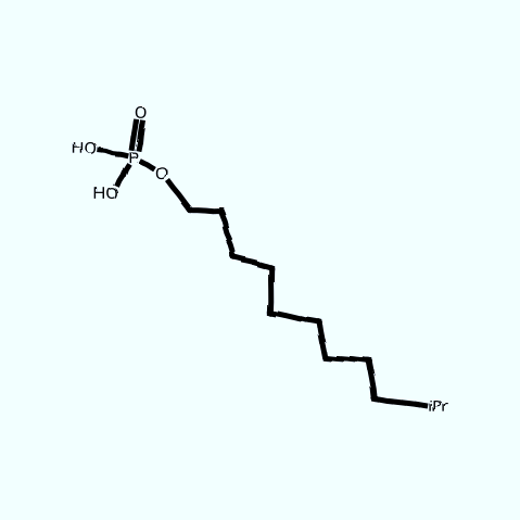 CC(C)CCCCCCCCCOP(=O)(O)O